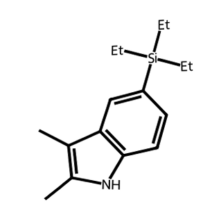 CC[Si](CC)(CC)c1ccc2[nH]c(C)c(C)c2c1